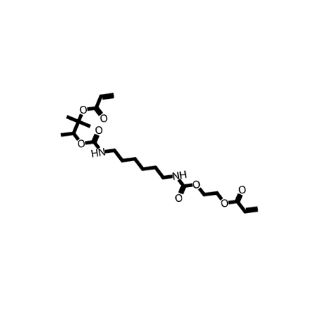 C=CC(=O)OCCOC(=O)NCCCCCCNC(=O)OC(C)C(C)(C)OC(=O)C=C